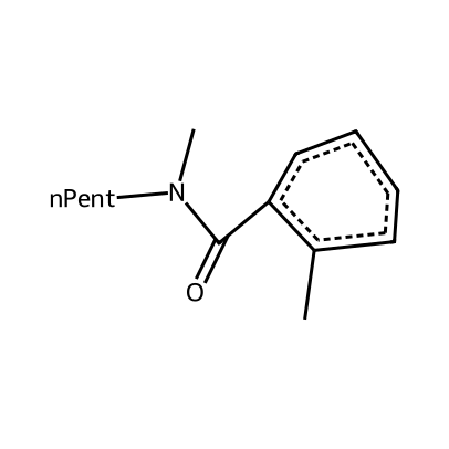 CCCCCN(C)C(=O)c1ccccc1C